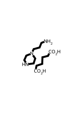 NCCCN1CCNCC1.O=C(O)CCCCC(=O)O